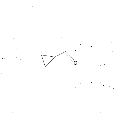 O=[C]C1[CH]C1